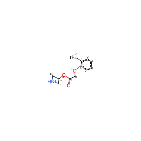 CC(C)(C)c1ccccc1OCC(=O)OC1CNC1